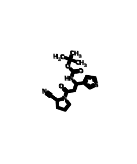 CC(C)(C)OC(=O)NC(CC(=O)N1CCCC1C#N)c1ccsc1